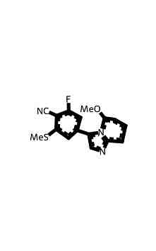 COc1cccc2ncc(-c3cc(F)c(C#N)c(SC)c3)n12